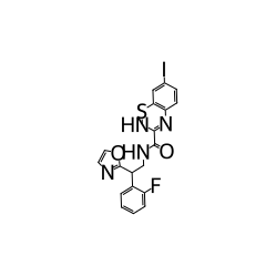 O=C(NCC(c1ncco1)c1ccccc1F)C1=Nc2ccc(I)cc2SN1